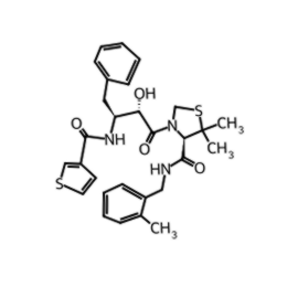 Cc1ccccc1CNC(=O)[C@H]1N(C(=O)[C@@H](O)[C@H](Cc2ccccc2)NC(=O)c2ccsc2)CSC1(C)C